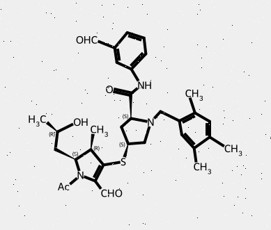 CC(=O)N1C(C=O)=C(S[C@H]2C[C@@H](C(=O)Nc3cccc(C=O)c3)N(Cc3cc(C)c(C)cc3C)C2)[C@H](C)[C@@H]1C[C@@H](C)O